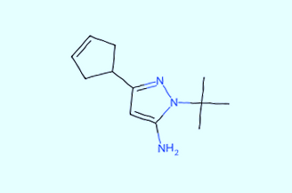 CC(C)(C)n1nc(C2CC=CC2)cc1N